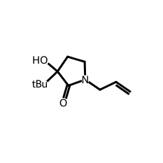 C=CCN1CCC(O)(C(C)(C)C)C1=O